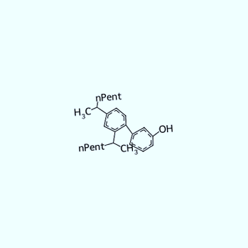 CCCCCC(C)c1ccc(-c2cccc(O)c2)c(C(C)CCCCC)c1